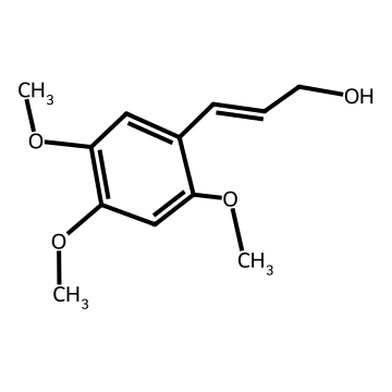 COc1cc(OC)c(OC)cc1C=CCO